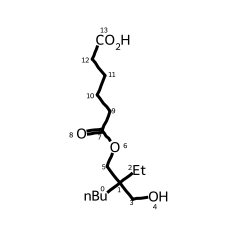 CCCCC(CC)(CO)COC(=O)CCCCC(=O)O